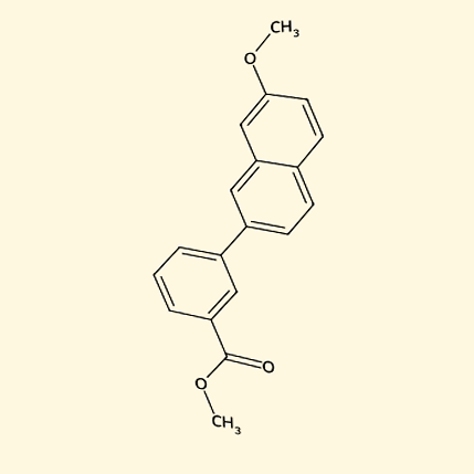 COC(=O)c1cccc(-c2ccc3ccc(OC)cc3c2)c1